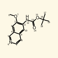 COc1cc2cnccc2cc1NC(=O)OC(C)(C)C